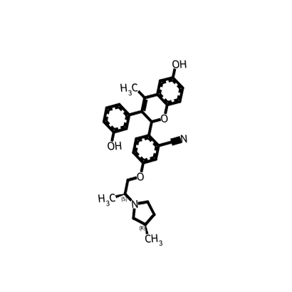 CC1=C(c2cccc(O)c2)C(c2ccc(OC[C@H](C)N3CC[C@@H](C)C3)cc2C#N)Oc2ccc(O)cc21